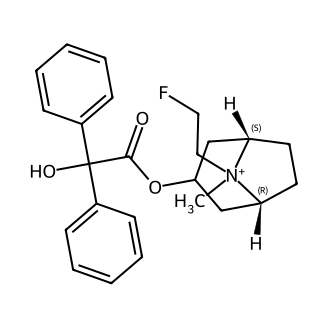 C[N+]1(CCF)[C@@H]2CC[C@H]1CC(OC(=O)C(O)(c1ccccc1)c1ccccc1)C2